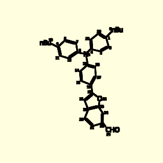 CCCCc1ccc(N(c2ccc(CCCC)cc2)c2ccc(-c3cc4ccc(C=O)cc4o3)cc2)cc1